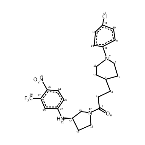 O=C(CCC1CCN(c2ccc(Cl)cc2)CC1)N1CC[C@@H](Nc2ccc([N+](=O)[O-])c(C(F)(F)F)c2)C1